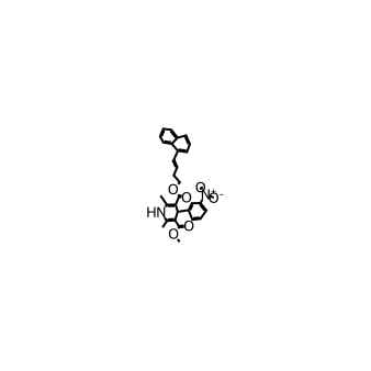 COC(=O)C1=C(C)NC(C)=C(C(=O)OCC/C=C/c2cccc3ccccc23)C1c1cccc([N+](=O)[O-])c1